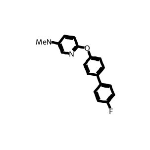 CNc1ccc(Oc2ccc(-c3ccc(F)cc3)cc2)nc1